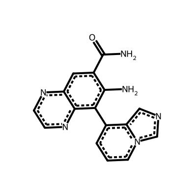 NC(=O)c1cc2nccnc2c(-c2cccn3cncc23)c1N